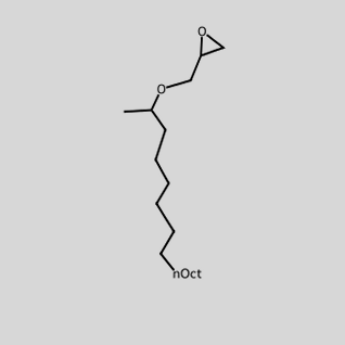 CCCCCCCCCCCCCCC(C)OCC1CO1